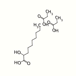 CCC(=O)O.CCC(=O)O.CCCCCCCCC(O)C(=O)O